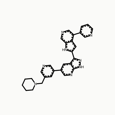 c1cncc(-c2cncc3[nH]c(-c4n[nH]c5ncc(-c6cncc(CN7CCCCC7)c6)cc45)cc23)c1